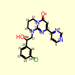 O=c1cc(-c2ccncn2)nc2n1CCCN2CC(O)c1cccc(Cl)c1